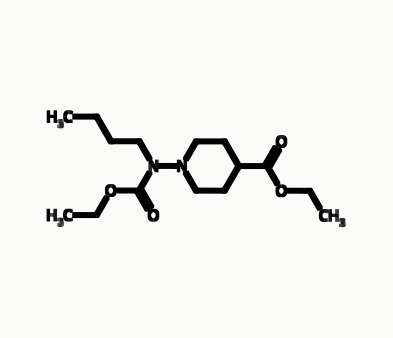 CCCCN(C(=O)OCC)N1CCC(C(=O)OCC)CC1